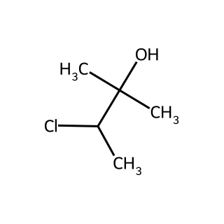 CC(Cl)C(C)(C)O